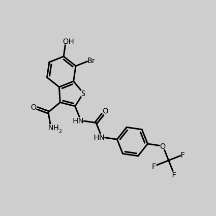 NC(=O)c1c(NC(=O)Nc2ccc(OC(F)(F)F)cc2)sc2c(Br)c(O)ccc12